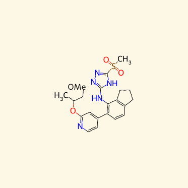 COCC(C)Oc1cc(-c2ccc3c(c2Nc2nnc(S(C)(=O)=O)[nH]2)CCC3)ccn1